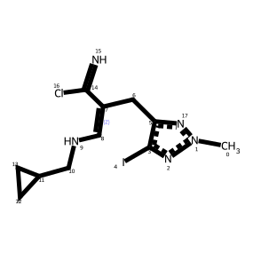 Cn1nc(I)c(C/C(=C/NCC2CC2)C(=N)Cl)n1